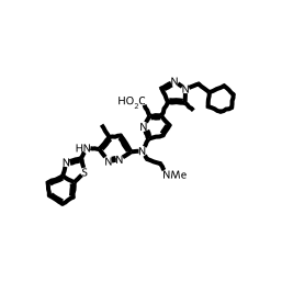 CNCCN(c1cc(C)c(Nc2nc3ccccc3s2)nn1)c1ccc(-c2cnn(CC3CCCCC3)c2C)c(C(=O)O)n1